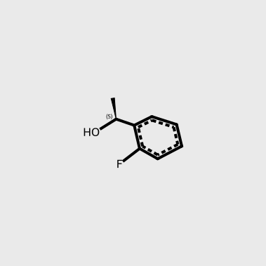 C[C@H](O)c1ccccc1F